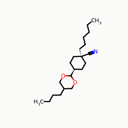 CCCCCC[C@]1(C#N)CC[C@@H](C2OCC(CCCC)CO2)CC1